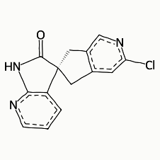 O=C1Nc2ncccc2[C@@]12Cc1cnc(Cl)cc1C2